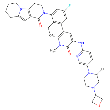 CCC1CN(C2COC2)CCN1c1ccc(Nc2cc(-c3cc(F)cc(N4CCc5c(cc6n5CCCC6)C4=O)c3COC(C)=O)cn(C)c2=O)nc1